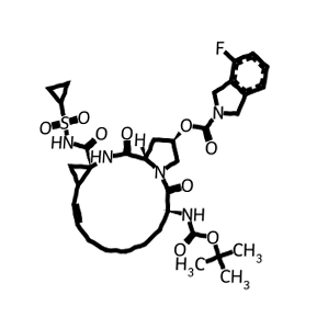 CC(C)(C)OC(=O)N[C@H]1CCCCC/C=C\C2C[C@]2(C(=O)NS(=O)(=O)C2CC2)NC(=O)[C@@H]2C[C@@H](OC(=O)N3Cc4cccc(F)c4C3)CN2C1=O